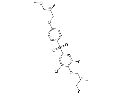 COC[C@@H](C)COc1ccc(S(=O)(=O)c2cc(Cl)c(OC[C@H](C)CCl)c(Cl)c2)cc1